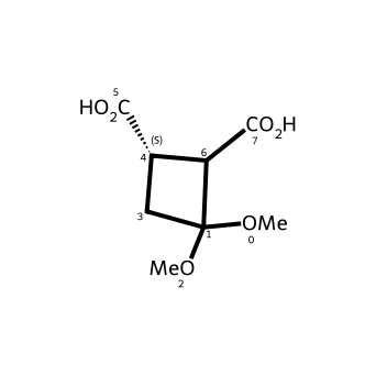 COC1(OC)C[C@H](C(=O)O)C1C(=O)O